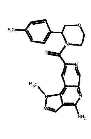 Cn1ncc2c(N)nc3cnc(C(=O)N4CCOC[C@@H]4c4ccc(C(F)(F)F)cc4)cc3c21